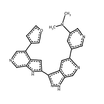 CN(C)c1cncc(-c2cc3c(-c4cc5c(-c6ccoc6)cncc5[nH]4)n[nH]c3cn2)c1